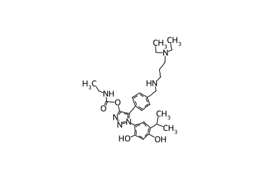 CCNC(=O)Oc1nnn(-c2cc(C(C)C)c(O)cc2O)c1-c1ccc(CNCCCN(CC)CC)cc1